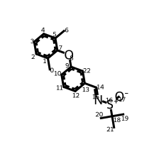 Cc1cccc(C)c1Oc1cccc(/C=N/[S+]([O-])C(C)(C)C)c1